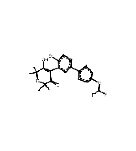 CCc1ccc(-c2ccc(OC(F)F)cc2)cc1C1=C(O)C(C)(C)OC(C)(C)C1=O